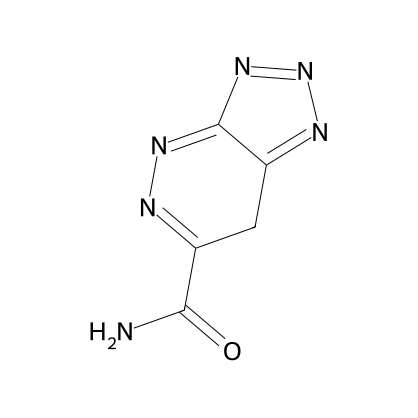 NC(=O)C1=NN=C2N=NN=C2C1